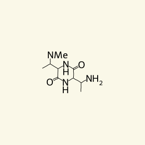 CNC(C)C1NC(=O)C(C(C)N)NC1=O